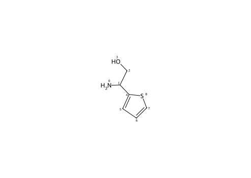 NC(CO)c1cccs1